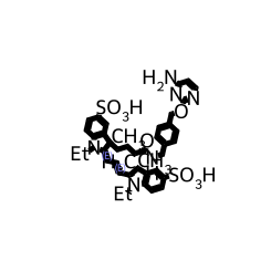 CCN1/C(=C/C=C/C2=[N+](CC)c3ccc(S(=O)(=O)O)cc3C2(C)C)C(C)(CCCC(=O)NCc2ccc(COc3nccc(N)n3)cc2)c2cc(S(=O)(=O)O)ccc21